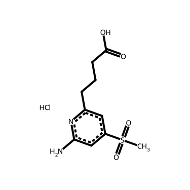 CS(=O)(=O)c1cc(N)nc(CCCC(=O)O)c1.Cl